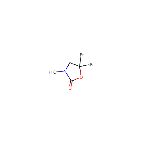 CCC1(C(C)C)CN(C)C(=O)O1